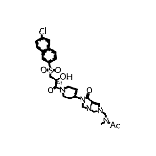 CC(=O)N(C)CN1C=C2C(=O)N(C3CCN(C(=O)[C@H](O)CS(=O)(=O)c4ccc5cc(Cl)ccc5c4)CC3)CN2C1